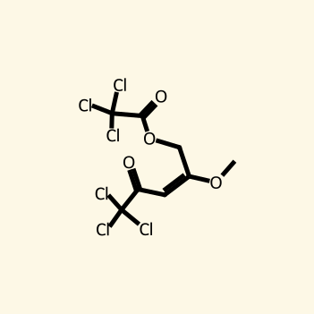 COC(=CC(=O)C(Cl)(Cl)Cl)COC(=O)C(Cl)(Cl)Cl